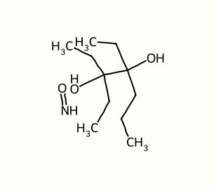 CCCC(O)(CC)C(O)(CC)CC.N=O